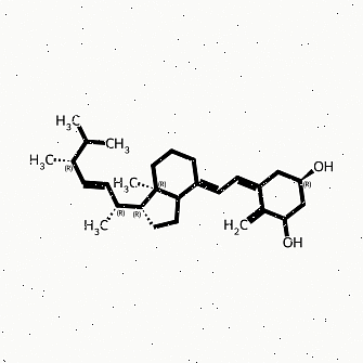 C=C1C(=CC=C2CCC[C@@]3(C)C2CC[C@@H]3[C@H](C)C=C[C@H](C)C(C)C)C[C@@H](O)CC1O